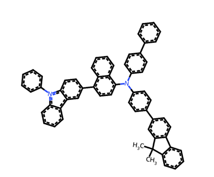 CC1(C)c2ccccc2-c2ccc(-c3ccc(N(c4ccc(-c5ccccc5)cc4)c4ccc(-c5ccc6c(c5)c5ccccc5n6-c5ccccc5)c5ccccc45)cc3)cc21